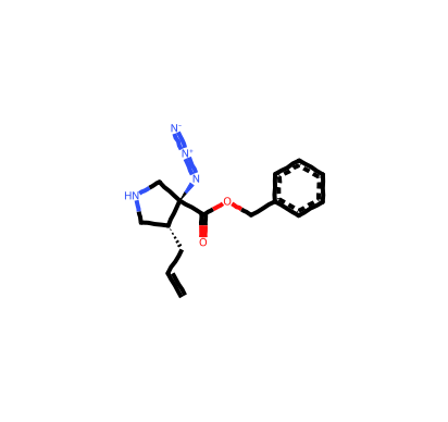 C=CC[C@@H]1CNC[C@]1(N=[N+]=[N-])C(=O)OCc1ccccc1